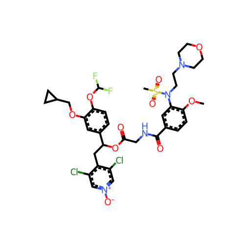 COc1ccc(C(=O)NCC(=O)OC(Cc2c(Cl)c[n+]([O-])cc2Cl)c2ccc(OC(F)F)c(OCC3CC3)c2)cc1N(CCN1CCOCC1)S(C)(=O)=O